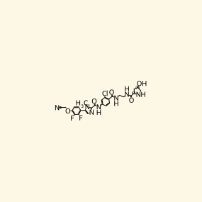 Cn1c(-c2ccc(OCC#N)c(F)c2F)cnc1C(=O)Nc1ccc(C(=O)NCCNC(=O)[C@H]2C[C@@H](O)CN2)c(Cl)c1